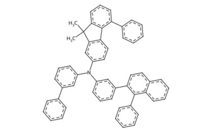 CC1(C)c2cc(N(c3cccc(-c4ccccc4)c3)c3cccc(-c4ccc5ccccc5c4-c4ccccc4)c3)ccc2-c2c(-c3ccccc3)cccc21